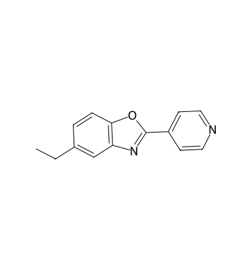 CCc1ccc2oc(-c3ccncc3)nc2c1